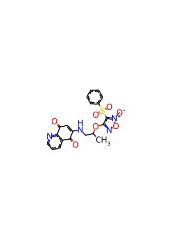 CC(CNC1=CC(=O)c2ncccc2C1=O)Oc1no[n+]([O-])c1S(=O)(=O)c1ccccc1